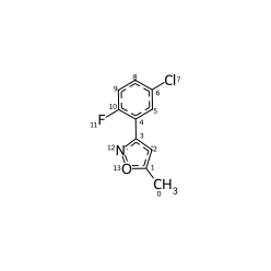 Cc1[c]c(-c2cc(Cl)ccc2F)no1